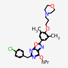 CCCOc1nc(Cc2ccc(Cl)cc2)nc2oc(-c3cc(C)c(OCCCN4CCOCC4)c(C)c3)nc12